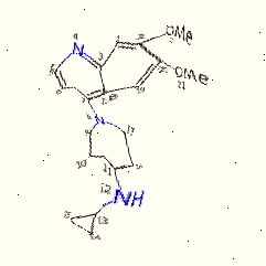 COc1cc2nccc(N3CCC(NC4CC4)CC3)c2cc1OC